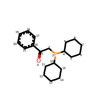 O=C(CP(C1CCCCC1)C1CCCCC1)c1ccccc1